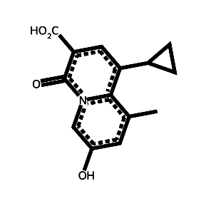 Cc1cc(O)cn2c(=O)c(C(=O)O)cc(C3CC3)c12